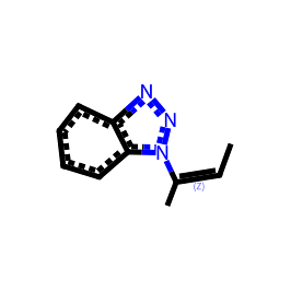 C/C=C(/C)n1nnc2ccccc21